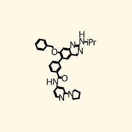 CC(C)Nc1ncc2cc(-c3cccc(C(=O)Nc4ccnc(N5CCCC5)c4)c3)c(OCc3ccccc3)cc2n1